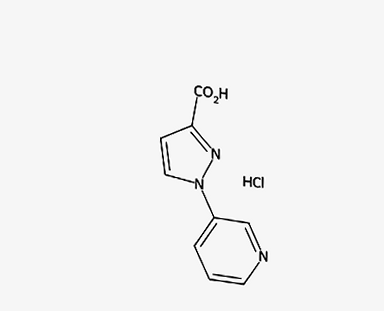 Cl.O=C(O)c1ccn(-c2cccnc2)n1